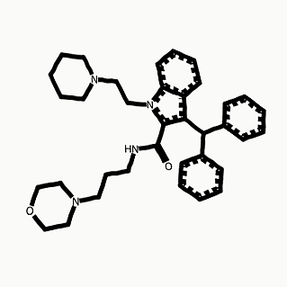 O=C(NCCCN1CCOCC1)c1c(C(c2ccccc2)c2ccccc2)c2ccccc2n1CCN1CCCCC1